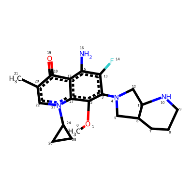 COc1c(N2CC3CCCNC3C2)c(F)c(N)c2c(=O)c(C)cn(C3CC3)c12